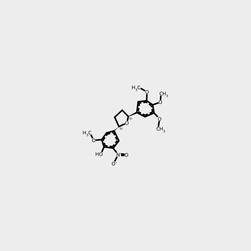 COc1cc([C@@H]2CC[C@@H](c3cc(OC)c(OC)c(OC)c3)O2)cc([N+](=O)[O-])c1O